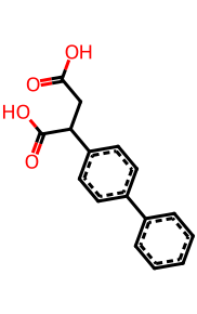 O=C(O)CC(C(=O)O)c1ccc(-c2ccccc2)cc1